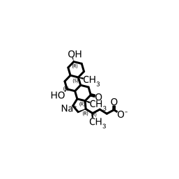 C[C@H](CCC(=O)[O-])[C@H]1CCC2C3C(CC(=O)[C@@]21C)[C@@]1(C)CC[C@@H](O)CC1C[C@H]3O.[Na+]